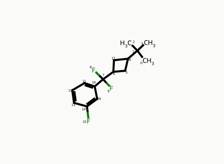 CC(C)(C)C1CC(C(F)(F)c2cccc(F)c2)C1